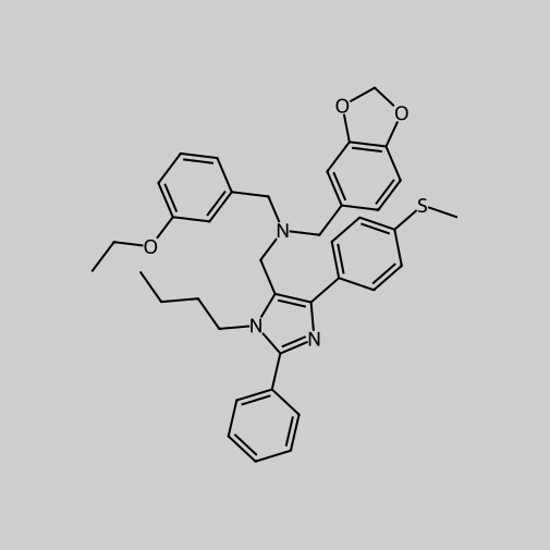 CCCCn1c(-c2ccccc2)nc(-c2ccc(SC)cc2)c1CN(Cc1cccc(OCC)c1)Cc1ccc2c(c1)OCO2